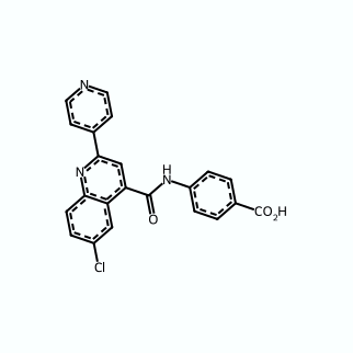 O=C(O)c1ccc(NC(=O)c2cc(-c3ccncc3)nc3ccc(Cl)cc23)cc1